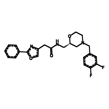 O=C(Cc1coc(-c2ccccc2)n1)NC[C@H]1CN(Cc2ccc(F)c(F)c2)CCO1